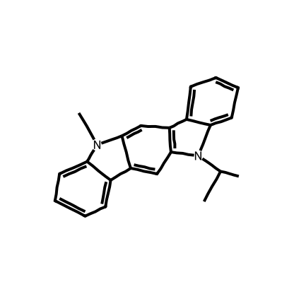 CC(C)n1c2ccccc2c2cc3c(cc21)c1ccccc1n3C